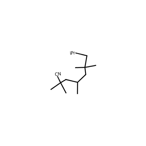 CC(C)CC(C)(C)CC(C)CC(C)(C)C#N